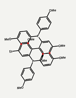 CCc1cc(OC)c(-c2c(OC)cc(OC)cc2P(c2ccc(OC)cc2)c2ccc(OC)cc2)c(P(c2ccc(OC)cc2)c2ccc(OC)cc2)c1